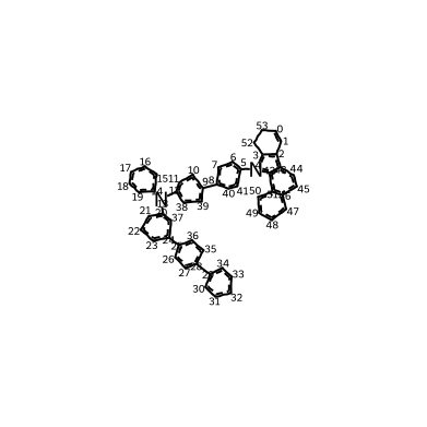 C1=Cc2c(n(-c3ccc(-c4ccc(N(c5ccccc5)c5cccc(-c6ccc(-c7ccccc7)cc6)c5)cc4)cc3)c3c2ccc2ccccc23)CC1